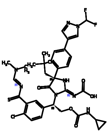 CN(C)/C=N/C(=S)c1cc([C@@H](COC(=O)NC2CC2)N2C(=O)[C@@](CC(C)(C)C)(c3ccc(-c4cnn(C(F)F)c4)cc3)N/C2=N\C(=O)O)ccc1Cl